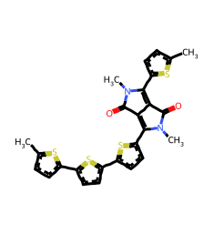 Cc1ccc(C2=C3C(=O)N(C)C(c4ccc(-c5ccc(-c6ccc(C)s6)s5)s4)=C3C(=O)N2C)s1